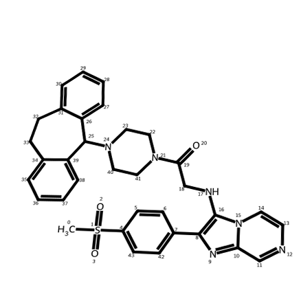 CS(=O)(=O)c1ccc(-c2nc3cnccn3c2NCC(=O)N2CCN(C3c4ccccc4CCc4ccccc43)CC2)cc1